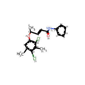 Cc1cc(OC(C)C=CC(=O)Nc2ccccc2)c(Cl)c(C)c1Cl